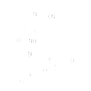 CN(CCC#N)Cc1ccc(NC(=O)c2cccc(Cc3cc(Cl)ccc3OCc3ccc(Cl)cc3F)n2)cc1